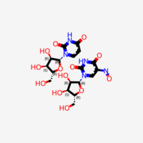 O=Nc1cn([C@@H]2O[C@H](CO)[C@@H](O)[C@H]2O)c(=O)[nH]c1=O.O=c1ccn([C@@H]2O[C@H](CO)[C@@H](O)[C@H]2O)c(=O)[nH]1